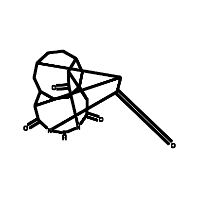 O=C1C2C3CCC4CC5CCC(C3)C2C(=O)N1BN1C(=O)C4C5C1=O